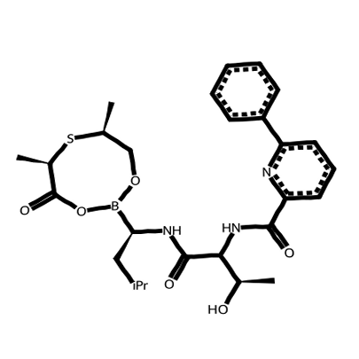 CC(C)C[C@H](NC(=O)C(NC(=O)c1cccc(-c2ccccc2)n1)[C@@H](C)O)B1OC[C@H](C)S[C@H](C)C(=O)O1